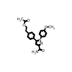 COc1ccc(-n2nc(C(N)=O)cc2-c2ccc(CCOC(C)=O)cc2)cc1